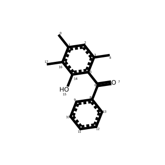 Cc1cc(C)c(C(=O)c2ccccc2)c(O)c1C